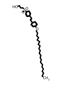 CCCCCCCCCCCCCCCCCCCCCCOc1ccc(C=Cc2ccc(S(=O)(=O)CCCO)cc2)cc1